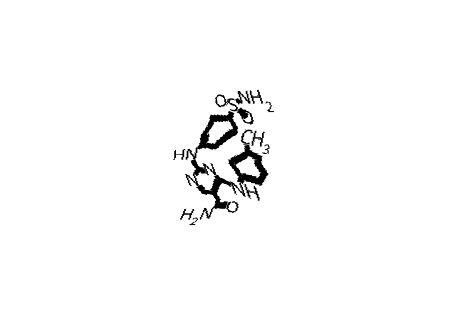 Cc1cccc(Nc2nc(Nc3ccc(S(N)(=O)=O)cc3)ncc2C(N)=O)c1